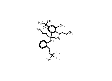 CCCCC(C)(Pc1ccccc1/C=N/C(C)(C)C)c1cc(C(C)(C)C)cc(C)c1OCOC